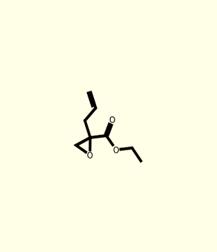 C=CCC1(C(=O)OCC)CO1